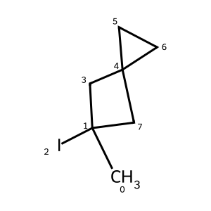 CC1(I)CC2(CC2)C1